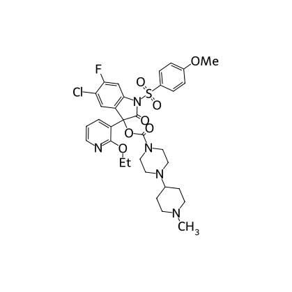 CCOc1ncccc1C1(OC(=O)N2CCN(C3CCN(C)CC3)CC2)C(=O)N(S(=O)(=O)c2ccc(OC)cc2)c2cc(F)c(Cl)cc21